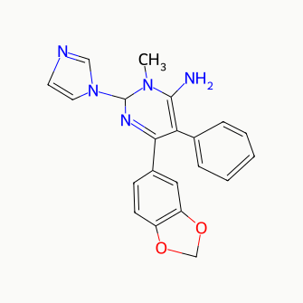 CN1C(N)=C(c2ccccc2)C(c2ccc3c(c2)OCO3)=NC1n1ccnc1